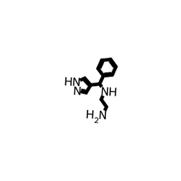 NCCNC(c1ccccc1)c1cn[nH]c1